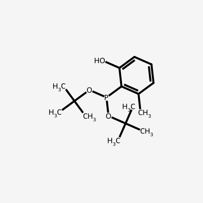 Cc1cccc(O)c1P(OC(C)(C)C)OC(C)(C)C